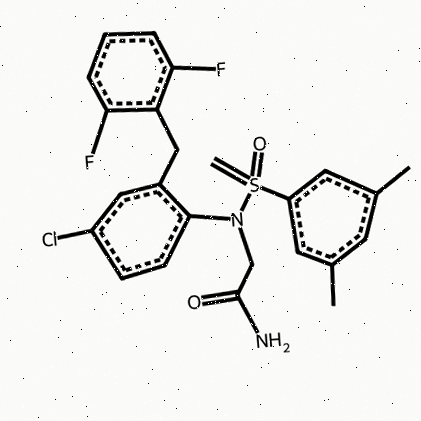 C=S(=O)(c1cc(C)cc(C)c1)N(CC(N)=O)c1ccc(Cl)cc1Cc1c(F)cccc1F